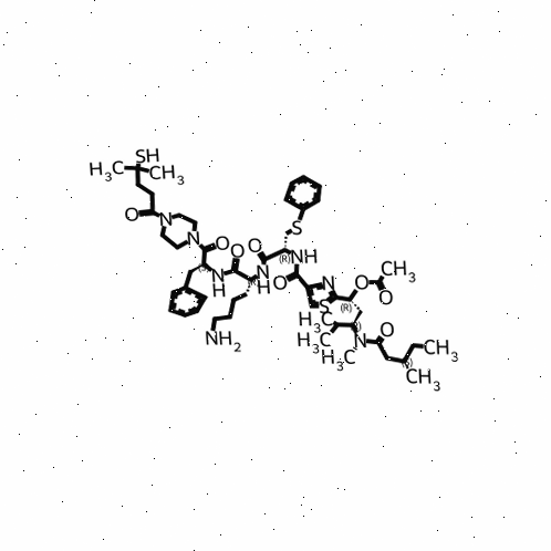 CC[C@H](C)CC(=O)N(C)[C@H](C[C@@H](OC(C)=O)c1nc(C(=O)N[C@@H](CSc2ccccc2)C(=O)N[C@H](CCCCN)C(=O)N[C@@H](Cc2ccccc2)C(=O)N2CCN(C(=O)CCC(C)(C)S)CC2)cs1)C(C)C